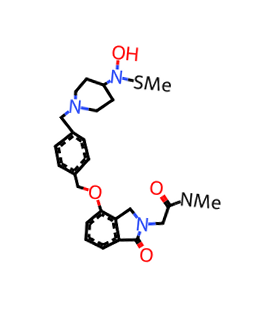 CNC(=O)CN1Cc2c(OCc3ccc(CN4CCC(N(O)SC)CC4)cc3)cccc2C1=O